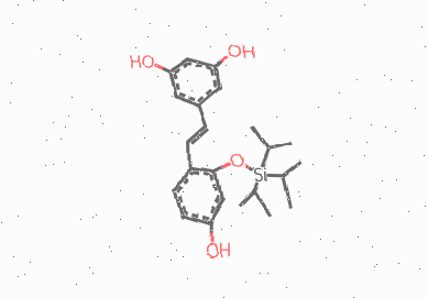 CC(C)[Si](Oc1cc(O)ccc1C=Cc1cc(O)cc(O)c1)(C(C)C)C(C)C